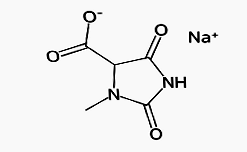 CN1C(=O)NC(=O)C1C(=O)[O-].[Na+]